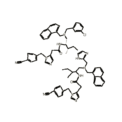 CCC(C)C(CN(Cc1ncc[nH]1)Cc1cccc2ccccc12)NC(=O)Cc1cncn1Cc1ccc(C#N)cc1.CC[C@H](C)[C@@H](CN(Cc1cccc(Cl)c1)Cc1cccc2ccccc12)NC(=O)Cc1cncn1Cc1ccc(C#N)cc1